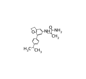 C=C(CNc1cc2c(c(-c3ccc(C(C)C)cc3)c1)OCC2)C(N)=O